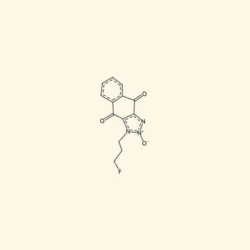 O=C1c2ccccc2C(=O)c2c1n[n+]([O-])n2CCCF